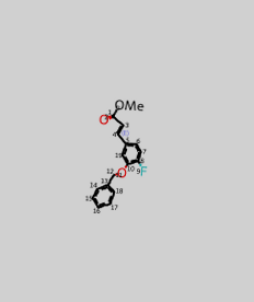 COC(=O)/C=C/c1ccc(F)c(OCc2ccccc2)c1